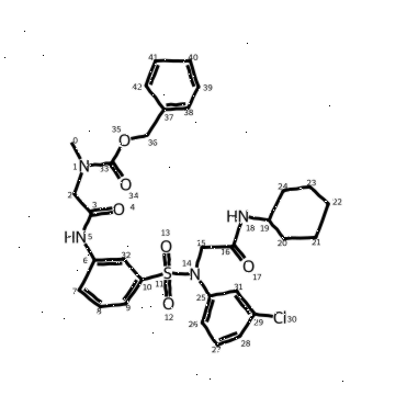 CN(CC(=O)Nc1cccc(S(=O)(=O)N(CC(=O)NC2CCCCC2)c2cccc(Cl)c2)c1)C(=O)OCc1ccccc1